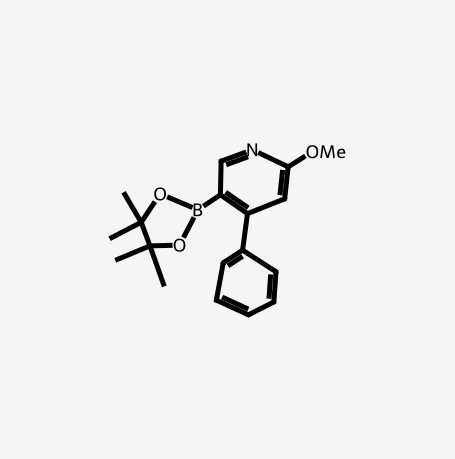 COc1cc(-c2ccccc2)c(B2OC(C)(C)C(C)(C)O2)cn1